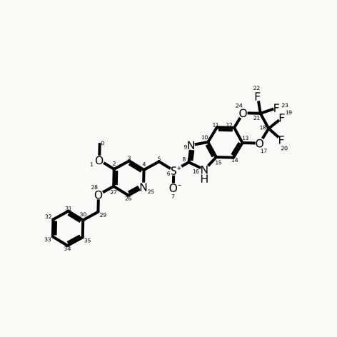 COc1cc(C[S+]([O-])c2nc3cc4c(cc3[nH]2)OC(F)(F)C(F)(F)O4)ncc1OCc1ccccc1